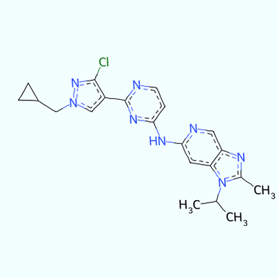 Cc1nc2cnc(Nc3ccnc(-c4cn(CC5CC5)nc4Cl)n3)cc2n1C(C)C